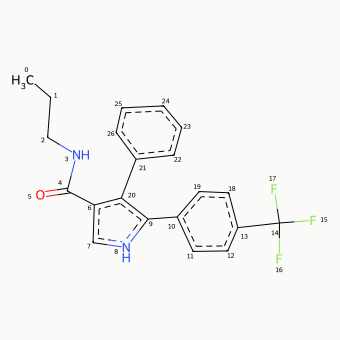 CCCNC(=O)c1c[nH]c(-c2ccc(C(F)(F)F)cc2)c1-c1ccccc1